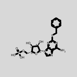 Nc1nc(SCc2ccccc2)nc2c1ncn2[C@@H]1O[C@H](COP(=O)(O)O)[C@@H](O)[C@H]1O